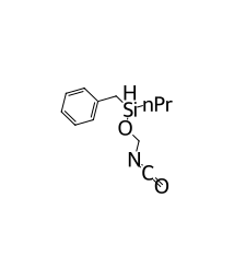 CCC[SiH](Cc1ccccc1)OCN=C=O